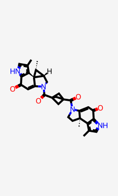 Cc1c[nH]c2c1[C@]13C(=CC2=O)N(C(=O)C24CC(C(=O)N5CC[C@@]6(C)C5=CC(=O)c5[nH]cc(C)c56)(C2)C4)C[C@H]1[C@H]3C